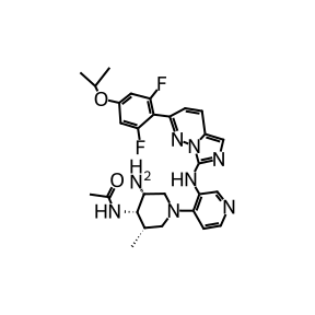 CC(=O)N[C@@H]1[C@H](N)CN(c2ccncc2Nc2ncc3ccc(-c4c(F)cc(OC(C)C)cc4F)nn23)C[C@@H]1C